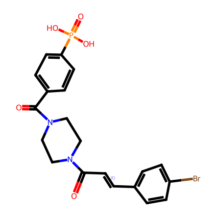 O=C(/C=C/c1ccc(Br)cc1)N1CCN(C(=O)c2ccc(P(=O)(O)O)cc2)CC1